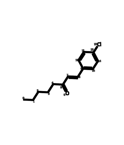 CCCCCC(=O)/C=C/c1ccc(Cl)cc1